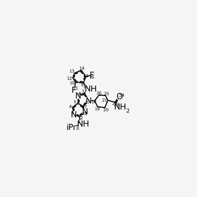 CC(C)Nc1ncc2nc(Nc3c(F)cccc3F)n(C3CCC(C(N)=O)CC3)c2n1